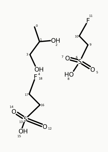 CC(O)CO.O=S(=O)(O)CCF.O=S(=O)(O)CCF